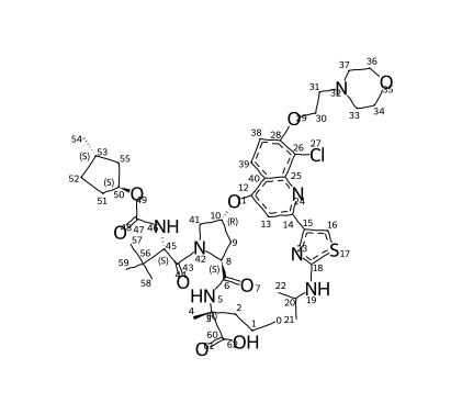 CCC[C@@](C)(NC(=O)[C@@H]1C[C@@H](Oc2cc(-c3csc(NC(C)C)n3)nc3c(Cl)c(OCCN4CCOCC4)ccc23)CN1C(=O)[C@@H](NC(=O)O[C@H]1CC[C@H](C)C1)C(C)(C)C)C(=O)O